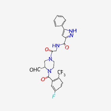 O=CC1CN(C(=O)CNC(=O)c2cc(-c3ccccc3)[nH]n2)CCN1C(=O)c1cc(F)ccc1C(F)(F)F